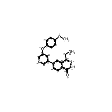 COc1ccc(Oc2cncc(-c3ccc4c(=O)[nH]nc(CN)c4c3)c2)cc1